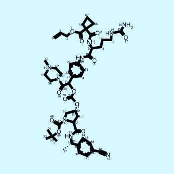 C=CCOC(=O)C1(C(=O)NC(CCCNC(N)=O)C(=O)Nc2ccc(C(OC(=O)O[C@@H]3CC(C(=O)N[C@@H](C)c4ccc(C#N)cc4)N(C(=O)OC(C)(C)C)C3)C(=O)N3CCN(C)CC3)cc2)CCC1